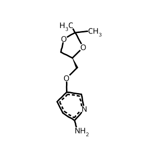 CC1(C)OC[C@H](COc2ccc(N)nc2)O1